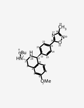 CCCCN[C@H]1Cc2cc(OC)ccc2[C@H](c2ccc(-c3nc(C)no3)cc2)N1